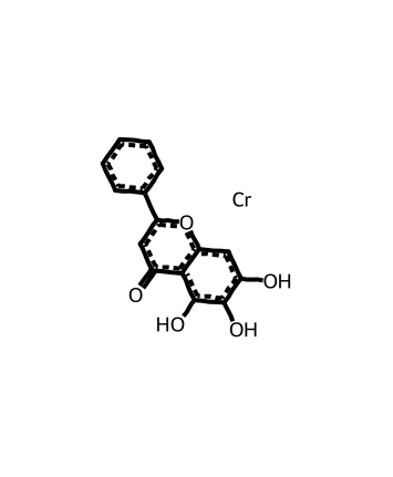 O=c1cc(-c2ccccc2)oc2cc(O)c(O)c(O)c12.[Cr]